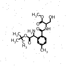 COC(=O)C(CO)NC(=O)c1ccc(C)cc1C(N)C(=O)OC(C)(C)C